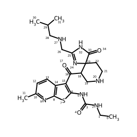 CCNC(=O)Nc1sc2nc(C)ccc2c1C(=O)C1CNCCC12N=C(CNCC(C)C)NC2=O